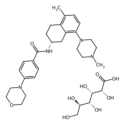 Cc1ccc(N2CCN(C)CC2)c2c1CC[C@@H](NC(=O)c1ccc(N3CCOCC3)cc1)C2.O=C(O)[C@H](O)[C@@H](O)[C@H](O)[C@H](O)CO